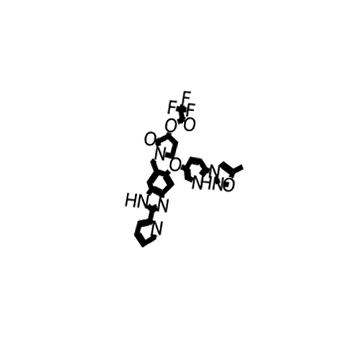 CC1=CN(c2ccc(Oc3cc4nc(-c5ccccn5)[nH]c4cc3CN3CCC(OC(=O)C(F)(F)F)C3=O)cn2)NO1